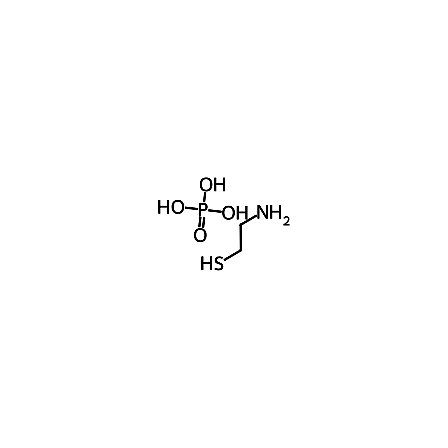 NCCS.O=P(O)(O)O